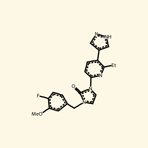 CCc1nc(-n2ccn(Cc3ccc(F)c(OC)c3)c2=O)ccc1-c1cn[nH]c1